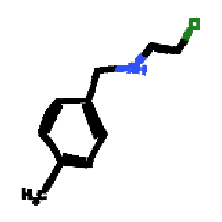 Cc1ccc(CNCCCl)cc1